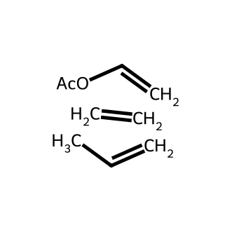 C=C.C=CC.C=COC(C)=O